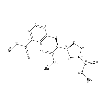 CC(C)(C)OC(=O)[C@@H](Cc1cccc(C(=O)CBr)c1)[C@H]1CCN(C(=O)OC(C)(C)C)C1